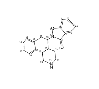 O=c1c2ccccc2on1C(Cc1ccccc1)C1CCNCC1